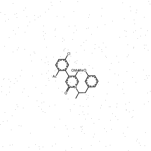 COc1cccc(CC(C)n2cc(OC)c(-c3cc(Cl)ccc3C(C)=O)cc2=O)c1